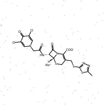 Cc1nnc(SCC2=C(C(=O)[O-])N3C(=O)[C@@H](NC(=O)Cn4cc(Cl)c(=O)c(Cl)c4)[C@H]3SC2)s1.[Na+]